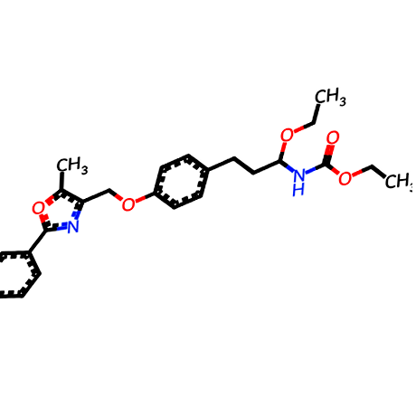 CCOC(=O)NC(CCc1ccc(OCc2nc(-c3ccccc3)oc2C)cc1)OCC